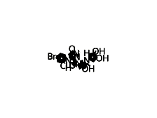 C[C@H](NC1C[C@@H](O)[C@@H](O)C1)C1(O)CN(C(=O)c2nn(C)c(=O)cc2Nc2ccc(Br)cc2Cl)C1